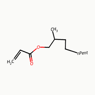 C=CC(=O)OCC(C)CCCCCCC